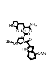 COc1cccc2[nH]c(C(=O)N3C[C@H](OC(C)(C)C)C[C@H]3C(=O)NC(CC3CCNC3=O)C(N)=O)cc12